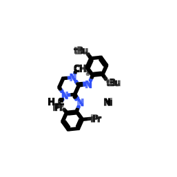 CC(C)c1cccc(C(C)C)c1N=C1C(=Nc2cc(C(C)(C)C)ccc2C(C)(C)C)N(C)CCN1C.[Ni]